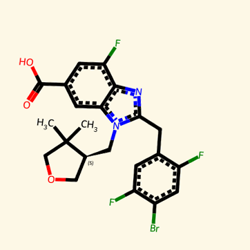 CC1(C)COC[C@@H]1Cn1c(Cc2cc(F)c(Br)cc2F)nc2c(F)cc(C(=O)O)cc21